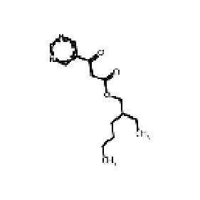 CCCCC(CC)COC(=O)CC(=O)c1cncnc1